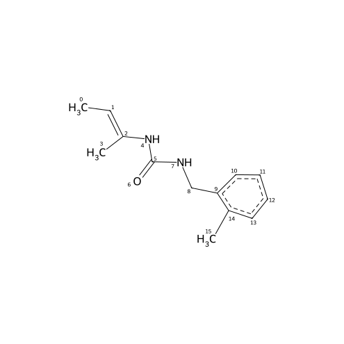 C/C=C(\C)NC(=O)NCc1ccccc1C